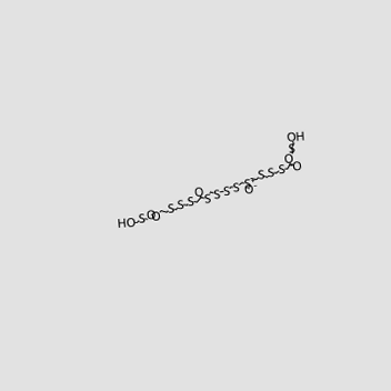 O=C(CSCSCSCC[S+]([O-])CSCSCSCSC(=O)CSCSCSCCOOCSCO)OCSCO